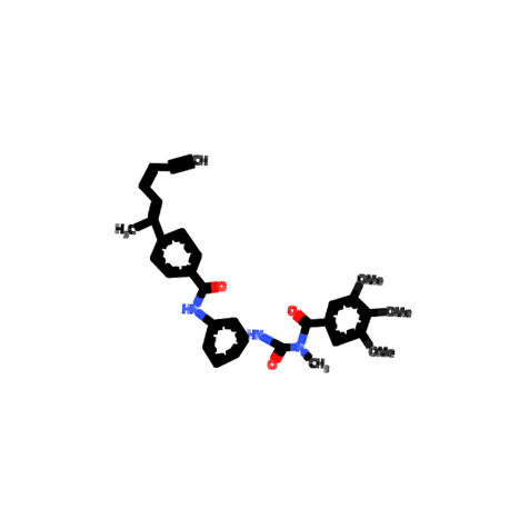 C#C/C=C\C=C(/C)c1ccc(C(=O)Nc2cccc(NC(=O)N(C)C(=O)c3cc(OC)c(OC)c(OC)c3)c2)cc1